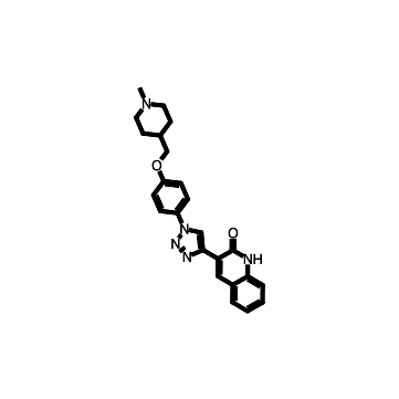 CN1CCC(COc2ccc(-n3cc(-c4cc5ccccc5[nH]c4=O)nn3)cc2)CC1